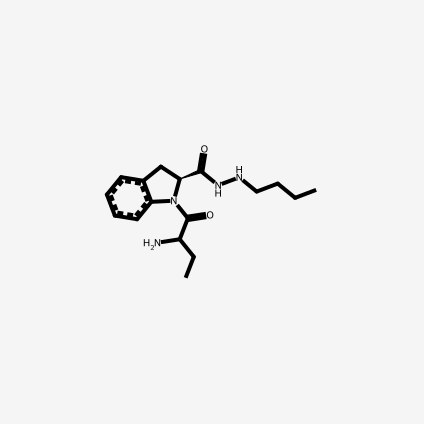 CCCCNNC(=O)[C@@H]1Cc2ccccc2N1C(=O)C(N)CC